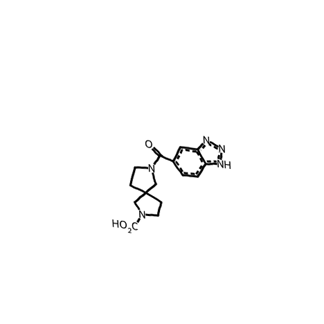 O=C(O)N1CCC2(CCN(C(=O)c3ccc4[nH]nnc4c3)C2)C1